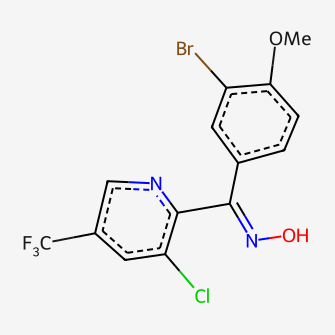 COc1ccc(/C(=N\O)c2ncc(C(F)(F)F)cc2Cl)cc1Br